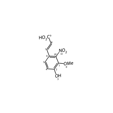 COc1c(O)ccc(C=CC(=O)O)c1[N+](=O)[O-]